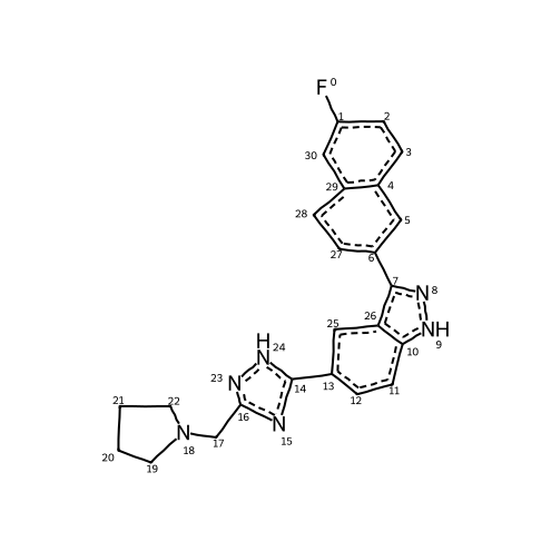 Fc1ccc2cc(-c3n[nH]c4ccc(-c5nc(CN6CCCC6)n[nH]5)cc34)ccc2c1